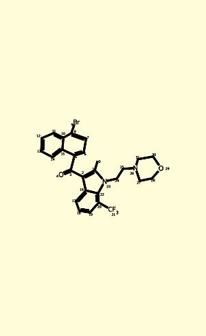 Cc1c(C(=O)c2ccc(Br)c3ccccc23)c2cccc(C(F)(F)F)c2n1CCN1CCOCC1